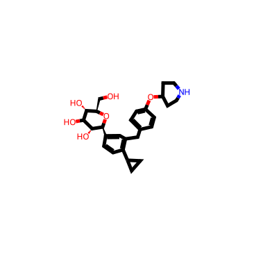 OC[C@H]1O[C@@H](c2ccc(C3CC3)c(Cc3ccc(OC4CCNCC4)cc3)c2)[C@H](O)C(O)[C@@H]1O